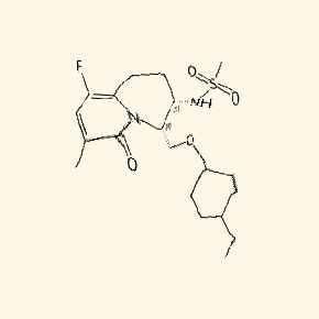 CCC1CCC(OC[C@H]2[C@@H](NS(C)(=O)=O)CCc3c(F)cc(C)c(=O)n32)CC1